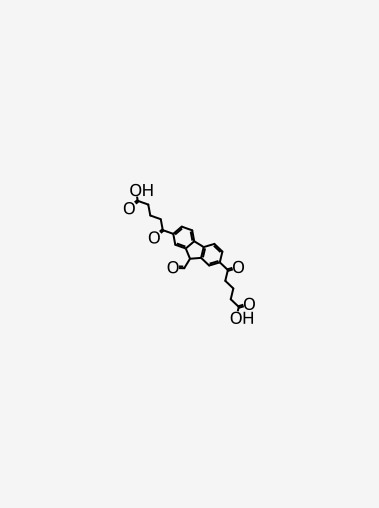 O=CC1c2cc(C(=O)CCCC(=O)O)ccc2-c2ccc(C(=O)CCCC(=O)O)cc21